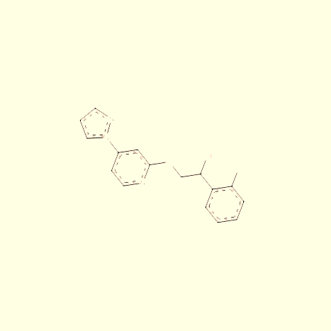 Cc1ccccc1C(O)COc1cc(-n2cccn2)ccn1